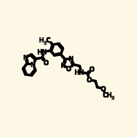 COCCOC(=O)NCc1nc(-c2ccc(C)c(NC(=O)c3cnc4ccccn34)c2)no1